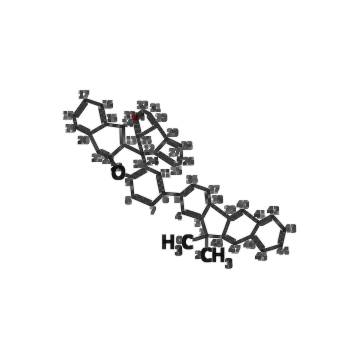 CC1(C)c2cc(-c3ccc4c(c3)C3(c5cc6ccccc6cc5O4)c4ccccc4-c4ccccc43)ccc2-c2cc3ccccc3cc21